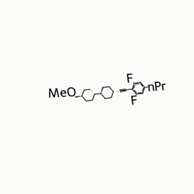 CCCc1cc(F)c(C#C[C@H]2CC[C@H]([C@H]3CC[C@H](COC)CC3)CC2)c(F)c1